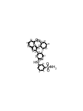 NS(=O)(=O)c1cccc(Nc2nccc(-c3sc4nccc(=O)n4c3-c3ccccc3Cl)n2)c1